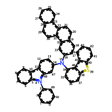 c1ccc(-n2c3ccccc3c3ccc(N(c4ccc5ccc6c7ccccc7ccc6c5c4)c4cccc5sc6ccccc6c45)cc32)cc1